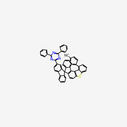 N#Cc1ccc(-c2cccc3sc4ccc5c(c4c23)-c2ccccc2C52c3ccccc3-c3ccc(-c4nc(-c5ccccc5)nc(-c5ccccc5)n4)cc32)cc1